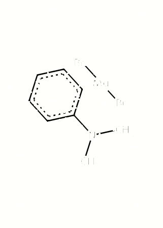 CN(C)c1cc[c]cc1.[Br][Mg][Br]